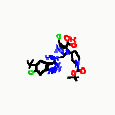 CC(C)(C)OC(=O)N1CCC(n2c(CNc3n[nH]c4cc(Cl)c(C(C)(C)C)cc34)nc(Cl)c2C(=O)O)C1